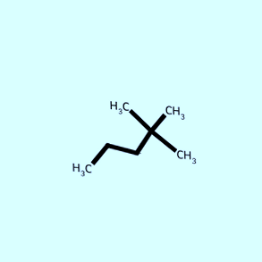 CC[CH]C(C)(C)C